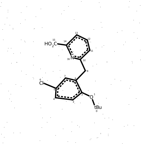 CC(C)(C)Oc1ccc(Cl)cc1Cc1cccc(C(=O)O)n1